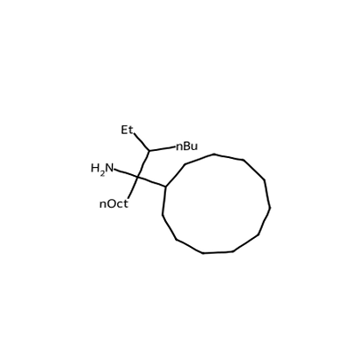 CCCCCCCCC(N)(C(CC)CCCC)C1CCCCCCCCCC1